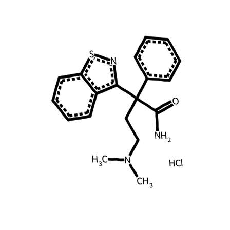 CN(C)CCC(C(N)=O)(c1ccccc1)c1nsc2ccccc12.Cl